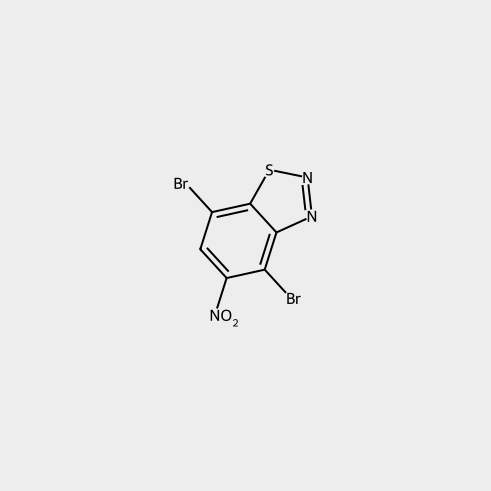 O=[N+]([O-])c1cc(Br)c2snnc2c1Br